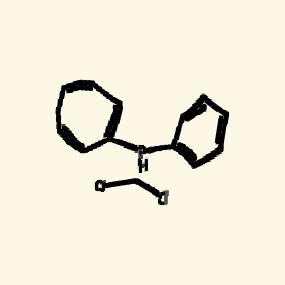 ClCCl.c1ccc(Pc2ccccc2)cc1